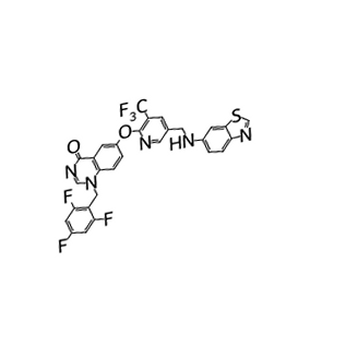 O=c1ncn(Cc2c(F)cc(F)cc2F)c2ccc(Oc3ncc(CNc4ccc5ncsc5c4)cc3C(F)(F)F)cc12